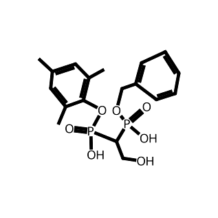 Cc1cc(C)c(OP(=O)(O)C(CO)P(=O)(O)OCc2ccccc2)c(C)c1